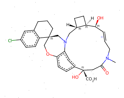 CN1C/C=C/[C@H](O)[C@@H]2CC[C@H]2CN2C[C@@]3(CCCc4cc(Cl)ccc43)COc3ccc(cc32)[C@](O)(C(=O)O)CC1=O